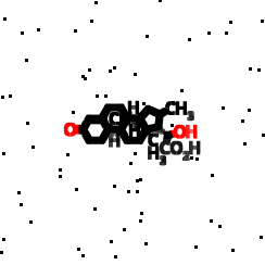 CC1C[C@H]2[C@@H]3CCC4=CC(=O)CC[C@]4(C)[C@H]3CC[C@]2(C)[C@H]1C(O)C(=O)O